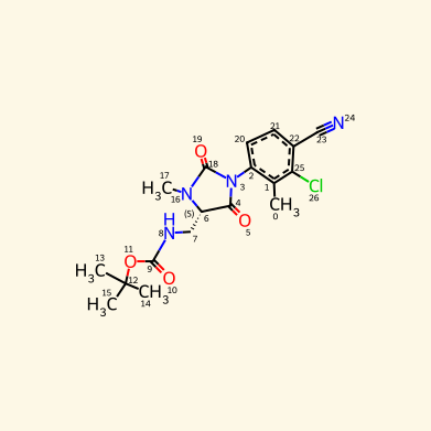 Cc1c(N2C(=O)[C@H](CNC(=O)OC(C)(C)C)N(C)C2=O)ccc(C#N)c1Cl